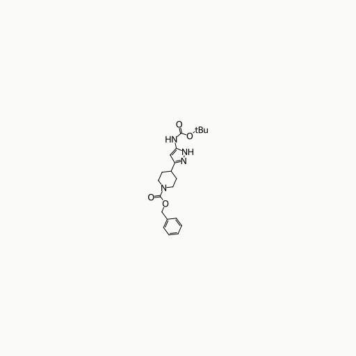 CC(C)(C)OC(=O)Nc1cc(C2CCN(C(=O)OCc3ccccc3)CC2)n[nH]1